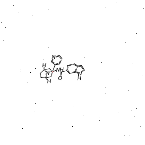 O=C(NC1C[C@H]2CC[C@@H](C1)N2Cc1cccnc1)c1ccc2cc[nH]c2c1